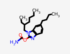 CCCCc1ccc2nc(OC(N)=O)n(CC(CC)CCCC)c2c1